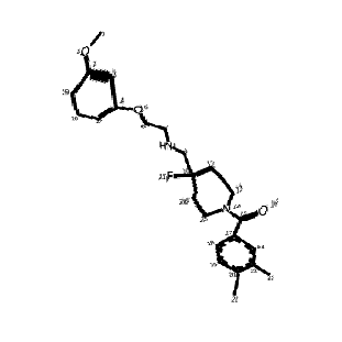 COC1=CC(OCCNCC2(F)CCN(C(=O)c3ccc(C)c(C)c3)CC2)=CCC1